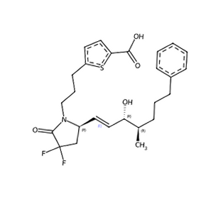 C[C@H](CCCc1ccccc1)[C@@H](O)/C=C/[C@H]1CC(F)(F)C(=O)N1CCCc1ccc(C(=O)O)s1